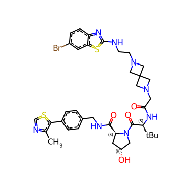 Cc1ncsc1-c1ccc(CNC(=O)[C@@H]2C[C@@H](O)CN2C(=O)[C@@H](NC(=O)CN2CC3(CN(CCNc4nc5ccc(Br)cc5s4)C3)C2)C(C)(C)C)cc1